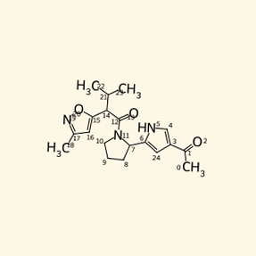 CC(=O)c1c[nH]c(C2CCCN2C(=O)C(c2cc(C)no2)C(C)C)c1